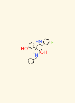 Oc1cccc(C23CCN(Cc4ccccc4)CC2(O)Cc2c([nH]c4ccc(F)cc24)C3)c1